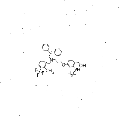 CPc1cc(OCCCN(Cc2cccc(C(F)(F)F)c2C)CC(C2=CCCC=C2)c2ccccc2)ccc1CO